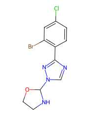 Clc1ccc(-c2ncn(C3NCCO3)n2)c(Br)c1